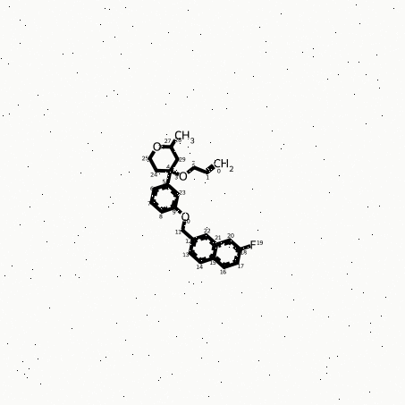 C=CCOC1(c2cccc(OCc3ccc4ccc(F)cc4c3)c2)CCOC(C)C1